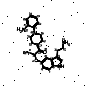 CCCC(Oc1ccc2[nH]cc(CCN)c2c1)C(=O)N1CCN(c2ccccc2N)CC1